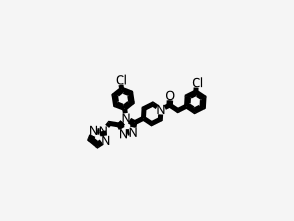 O=C(Cc1cccc(Cl)c1)N1CCC(c2nnc(Cn3nccn3)n2-c2ccc(Cl)cc2)CC1